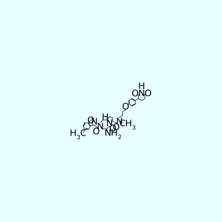 Cc1ccc2onc(C(=O)N3CC[C@H]4CC[C@@H](C(=O)N(C)CCCCOc5ccc(C6CCC(=O)NC6=O)cc5)N4C(=O)[C@@H](N)C3)c2c1